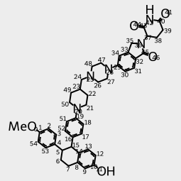 COc1ccc(C2CCc3cc(O)ccc3C2c2ccc(N3CCC(CN4CCN(c5ccc6c(c5)CN(C5CCC(=O)NC5=O)C6=O)CC4)CC3)cc2)cc1